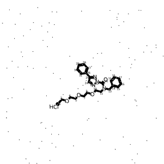 C#CCOCCOCCOCCN(Cc1ccccc1)C(=O)n1ncc(-c2ccccc2)n1